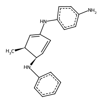 C[C@H]1C=C(Nc2ccc(N)cc2)C=C[C@H]1Nc1ccccc1